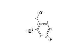 Br.Fc1ccc([CH2][Zn])cc1